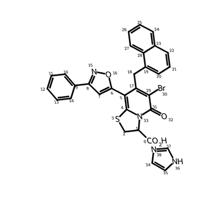 O=C(O)C1CSc2c(-c3cc(-c4ccccc4)no3)c(Cc3cccc4ccccc34)c(Br)c(=O)n21.c1c[nH]cn1